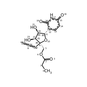 CCC(=O)OC[C@@]1(N=[N+]=[N-])O[C@@H](n2ccc(=O)[nH]c2=O)[C@H](O)[C@@H]1O